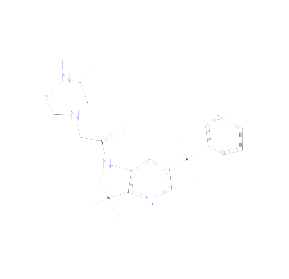 CC1CN(CC(=O)N2CC(C)(C)c3ncc(C(F)(F)c4ccccc4)cc32)CCN1